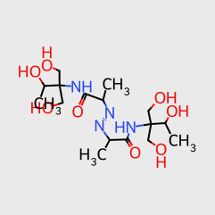 CC(N=NC(C)C(=O)NC(CO)(CO)C(C)O)C(=O)NC(CO)(CO)C(C)O